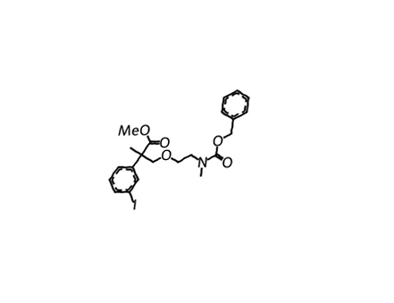 COC(=O)C(C)(COCCN(C)C(=O)OCc1ccccc1)c1cccc(I)c1